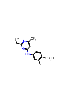 Cc1cc(Nc2cc(C(F)(F)F)nc(CC(C)C)n2)ccc1C(=O)O